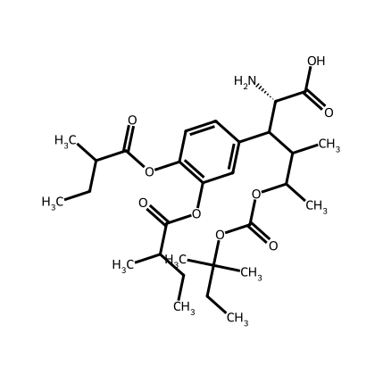 CCC(C)C(=O)Oc1ccc(C(C(C)C(C)OC(=O)OC(C)(C)CC)[C@H](N)C(=O)O)cc1OC(=O)C(C)CC